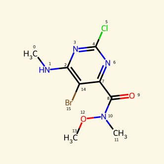 CNc1nc(Cl)nc(C(=O)N(C)OC)c1Br